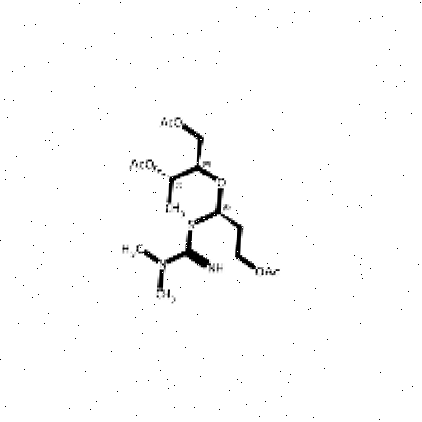 CC(=O)OCC[C@H](O[C@H](COC(C)=O)[C@H](C)OC(C)=O)SC(=N)N(C)C